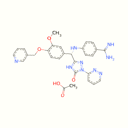 CC(=O)O.COc1cc([C@H](Nc2ccc(C(=N)N)cc2)c2nn(-c3cccnn3)c(=O)[nH]2)ccc1OCc1cccnc1